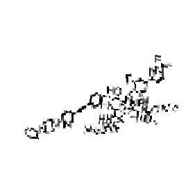 COC(=O)NC(C(=O)N[C@@H](Cc1ccc(C#Cc2ccc(N3CCN([C@H]4CCOC4)CC3)nc2)cc1)[C@@H](O)CN(Cc1c(F)cc(-c2ccn(C(F)F)n2)cc1F)NC(=O)[C@@H](NC(=O)OC)C(C)(C)C(F)(F)F)C(C)(C)C(F)(F)F